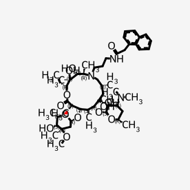 CC[C@H]1OC(=O)[C@H](C)[C@@H](O[C@H]2C[C@@](C)(OC)[C@@H](O)[C@H](C)O2)[C@H](C)[C@@H](O[C@@H]2O[C@H](C)C[C@H](N(C)C)[C@H]2O)[C@](C)(O)C[C@@H](C)CN(CCCNC(=O)Cc2cccc3ccccc23)[C@H](C)[C@@H](O)[C@]1(C)O